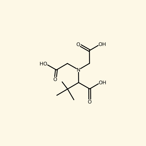 CC(C)(C)C(C(=O)O)N(CC(=O)O)CC(=O)O